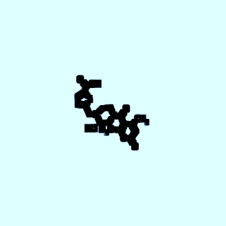 Cc1cc(=O)oc(C)c1C(=O)N1CCN(Cc2ccc(C(=O)O)s2)CC1.Cl